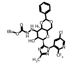 Cc1nc([C@@H]2OC3COC(c4ccccc4)O[C@@H]3C(NNC(=O)OC(C)(C)C)C2O)n(-c2cc(Cl)cnc2C(F)(F)F)n1